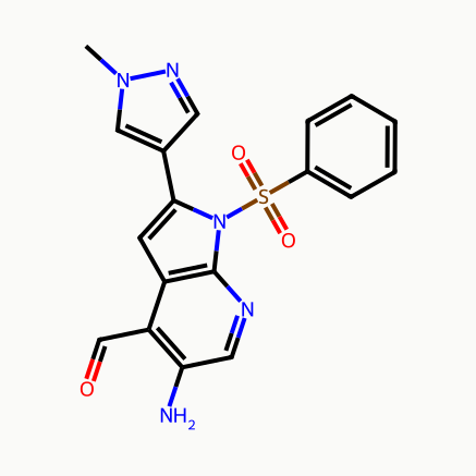 Cn1cc(-c2cc3c(C=O)c(N)cnc3n2S(=O)(=O)c2ccccc2)cn1